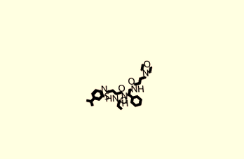 CCC(=O)NC(Cc1nc2ccc(C(C)C)cc2s1)C(=O)NC(CNC(=O)CCCN1CCOCC1)C1CCCCC1